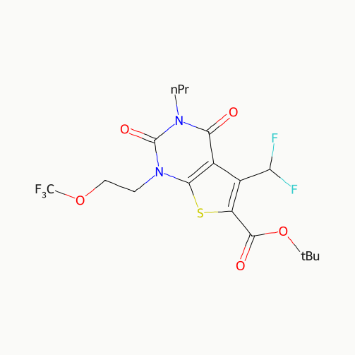 CCCn1c(=O)c2c(C(F)F)c(C(=O)OC(C)(C)C)sc2n(CCOC(F)(F)F)c1=O